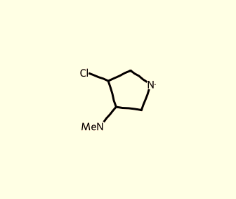 CNC1C[N]CC1Cl